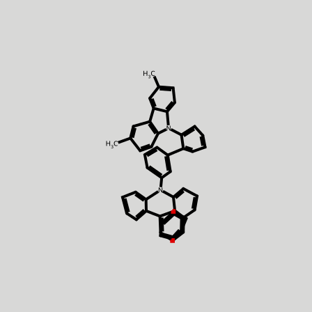 Cc1ccc2c(c1)c1cc(C)ccc1n2-c1ccccc1-c1cccc(N(c2ccccc2-c2ccccc2)c2cccc3ccccc23)c1